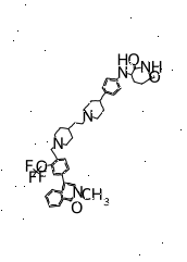 Cn1cc(-c2ccc(CN3CCC(CCN4CCC(c5ccc(NC6CCC(=O)NC6=O)cc5)CC4)CC3)c(OC(F)(F)F)c2)c2ccccc2c1=O